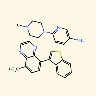 CN1CCN(c2ccc(N)cn2)CC1.O=C(O)c1ccc(-c2csc3ccccc23)c2nccnc12